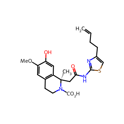 C=CCCc1csc(NC(=O)C[C@]2(C)c3cc(O)c(OC)cc3CCN2C(=O)O)n1